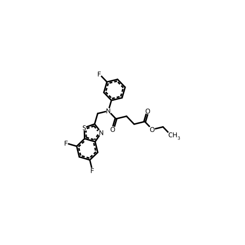 CCOC(=O)CCC(=O)N(Cc1nc2cc(F)cc(F)c2s1)c1cccc(F)c1